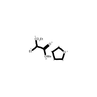 C1CCOC1.CCOC(=O)C(CC)C(=O)OC